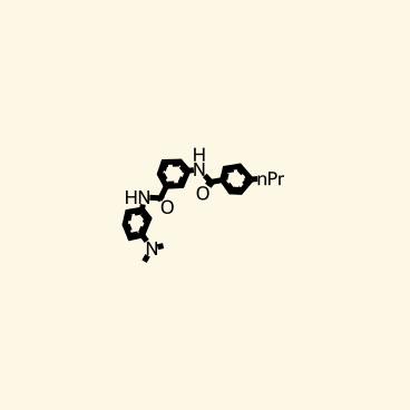 CCCc1ccc(C(=O)Nc2cccc(C(=O)Nc3cccc(N(C)C)c3)c2)cc1